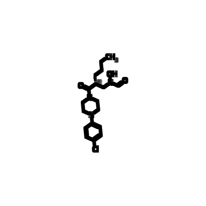 CCCC[C@H](CN(O)C=O)C(=O)N1CCN(c2ccc(Cl)cc2)CC1